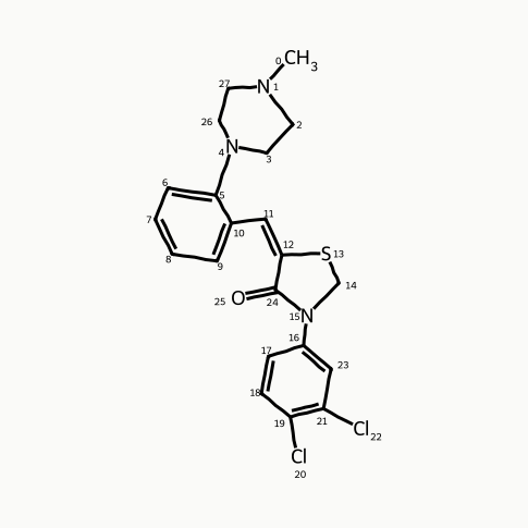 CN1CCN(c2ccccc2/C=C2/SCN(c3ccc(Cl)c(Cl)c3)C2=O)CC1